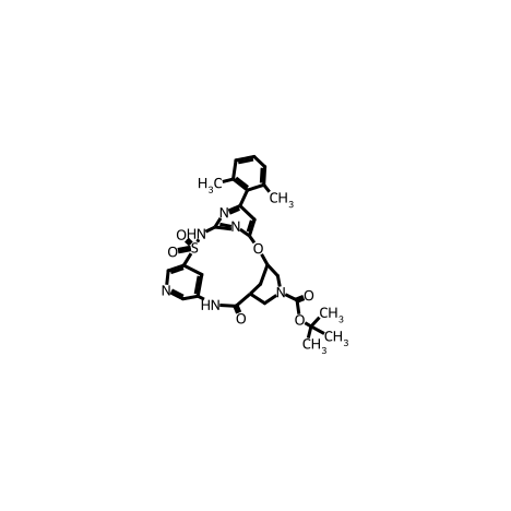 Cc1cccc(C)c1-c1cc2nc(n1)NS(=O)(=O)c1cncc(c1)NC(=O)C1CC(CN(C(=O)OC(C)(C)C)C1)O2